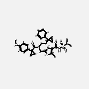 COc1ccc(C2(C(=O)N(CCC3(c4ccccc4)CC3)Cc3nc(C(=O)NS(=O)(=O)N(C)C)c(C)s3)CC2)cc1